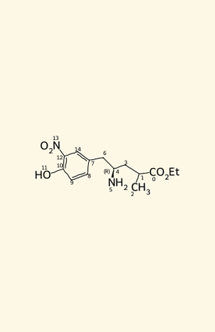 CCOC(=O)C(C)C[C@@H](N)Cc1ccc(O)c([N+](=O)[O-])c1